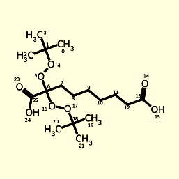 CC(C)(C)OOC(CCCCCCC(=O)O)(OOC(C)(C)C)C(=O)O